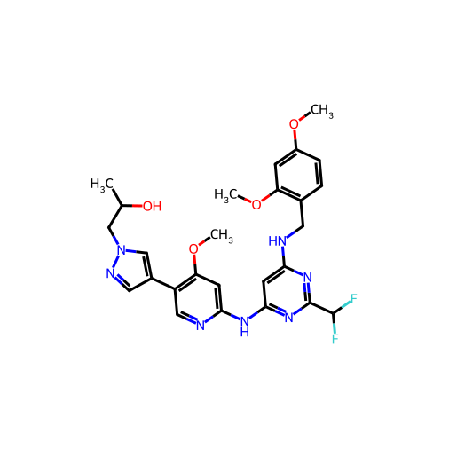 COc1ccc(CNc2cc(Nc3cc(OC)c(-c4cnn(CC(C)O)c4)cn3)nc(C(F)F)n2)c(OC)c1